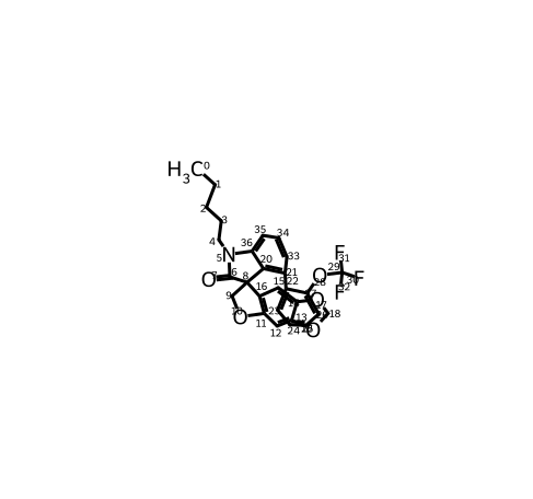 CCCCCN1C(=O)C2(COc3cc4c(cc32)OCO4)c2c(-c3ccccc3OC(F)(F)F)cccc21